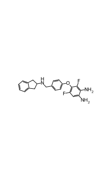 Nc1cc(F)c(Oc2ccc(CNC3Cc4ccccc4C3)cc2)c(F)c1N